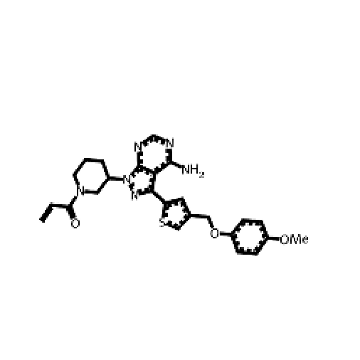 C=CC(=O)N1CCCC(n2nc(-c3cc(COc4ccc(OC)cc4)cs3)c3c(N)ncnc32)C1